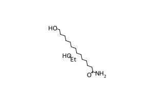 CCO.NC(=O)CCCCCCCCCCCCCO